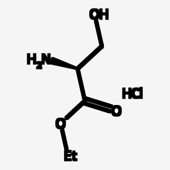 CCOC(=O)[C@@H](N)CO.Cl